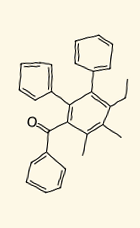 CCc1c(C)c(C)c(C(=O)c2ccccc2)c(-c2ccccc2)c1-c1ccccc1